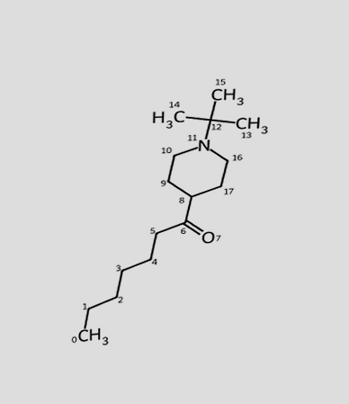 CCCCCCC(=O)C1CCN(C(C)(C)C)CC1